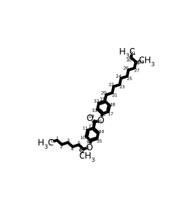 CCCCCC[C@@H](C)Oc1ccc(C(=O)Oc2ccc(CCCCCCCC[C@@H](C)CC)cc2)cc1